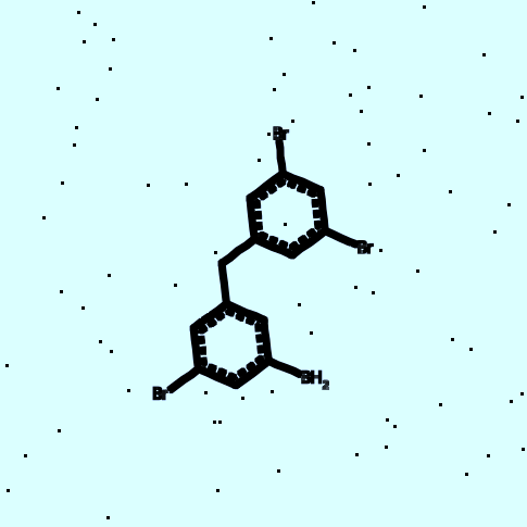 Bc1cc(Br)cc(Cc2cc(Br)cc(Br)c2)c1